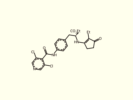 CCOC(=O)[C@H](Cc1ccc(NC(=O)c2c(Cl)cncc2Cl)cc1)NC1=C(CC)C(=O)CC1